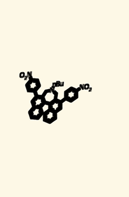 CCCCN1Cc2c(-c3ccc([N+](=O)[O-])cc3)cc3ccccc3c2-c2c(c(-c3ccc([N+](=O)[O-])cc3)cc3ccccc23)C1